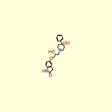 O=C1Cc2cc(OC[C@H](O)CN3CCC(O)(c4ccccc4)CC3)ccc2N1